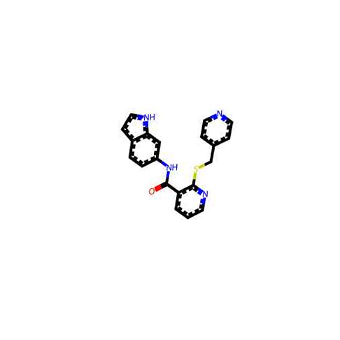 O=C(Nc1ccc2cc[nH]c2c1)c1cccnc1SCc1ccncc1